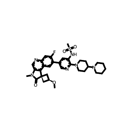 CO[C@H]1C[C@@]2(C1)C(=O)N(C)c1cnc3cc(F)c(-c4cnc(N5CCC(N6CCCCC6)CC5)c(NS(C)(=O)=O)c4)cc3c12